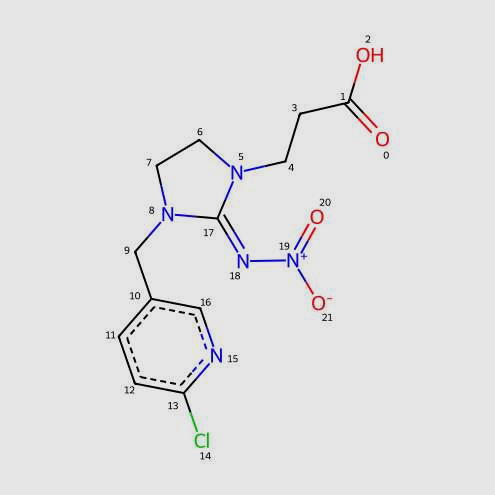 O=C(O)CCN1CCN(Cc2ccc(Cl)nc2)C1=N[N+](=O)[O-]